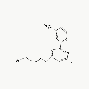 Cc1ccnc(-c2cc(CCCCBr)ccn2)c1.[Ru]